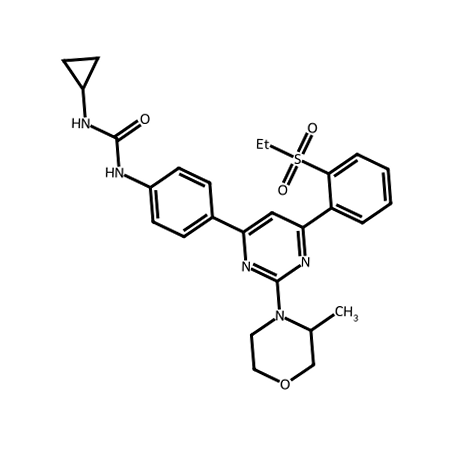 CCS(=O)(=O)c1ccccc1-c1cc(-c2ccc(NC(=O)NC3CC3)cc2)nc(N2CCOCC2C)n1